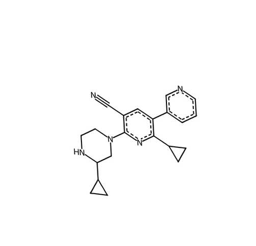 N#Cc1cc(-c2cccnc2)c(C2CC2)nc1N1CCNC(C2CC2)C1